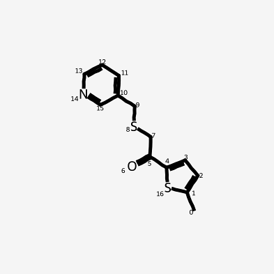 Cc1ccc(C(=O)CSCc2cccnc2)s1